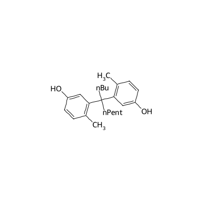 CCCCCC(CCCC)(c1cc(O)ccc1C)c1cc(O)ccc1C